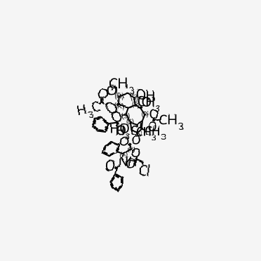 CO[C@@H]1C[C@H](O)[C@@]2(C)C(=O)[C@H](OC(C)=O)C3=C(C)[C@@H](OC(=O)[C@H](OC(=O)CCl)[C@@H](NC(=O)c4ccccc4)c4ccccc4)C[C@@](O)([C@@H](OC(=O)c4ccccc4)C2[C@H]1OC(C)=O)C3(C)C